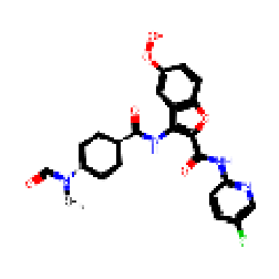 CN(C=O)[C@H]1CC[C@H](C(=O)Nc2c(C(=O)Nc3ccc(Cl)cn3)oc3ccc(OO)cc23)CC1